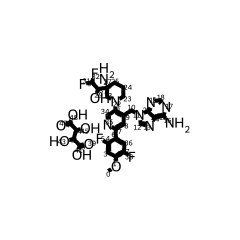 COc1cc(F)c(-c2cc(Cn3cnc4c(N)ncnc43)c(N3CCC[C@](N)(C(O)C(F)F)C3)cn2)cc1F.O=C(O)C(O)C(O)C(=O)O